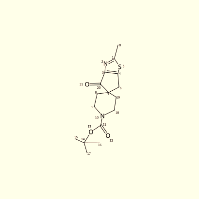 Cc1nc2c(s1)CC1(CCN(C(=O)OC(C)(C)C)CC1)C2=O